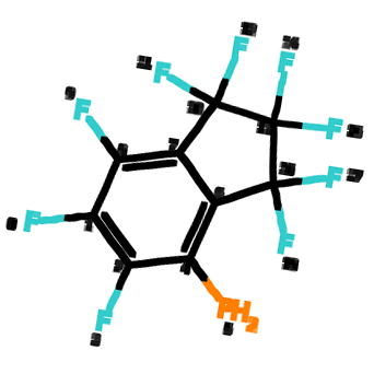 Fc1c(F)c(P)c2c(c1F)C(F)(F)C(F)(F)C2(F)F